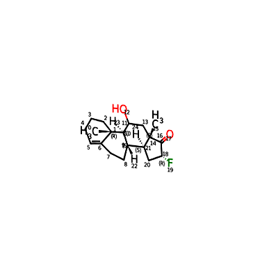 C[C@]12CCCC=C1CC[C@@H]1[C@@H]2C(O)C[C@]2(C)C(=O)[C@H](F)C[C@@H]12